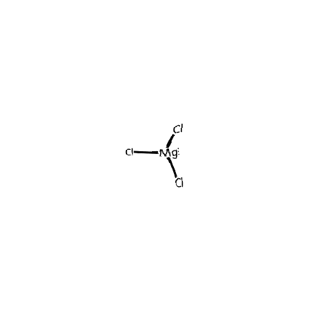 [Cl][Mg]([Cl])[Cl]